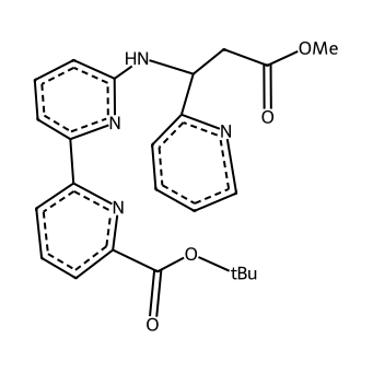 COC(=O)CC(Nc1cccc(-c2cccc(C(=O)OC(C)(C)C)n2)n1)c1ccccn1